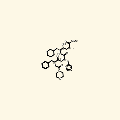 CNC(=O)[C@H](C)C[C@H](O)[C@H](CC1CCCCC1)NC(=O)[C@H](Cc1cscn1)NC(=O)[C@@H](CC(=O)N1CCOCC1)Cc1ccccc1